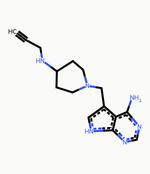 C#CCNC1CCN(Cc2c[nH]c3ncnc(N)c23)CC1